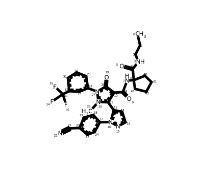 CCCNC(=O)C1(NC(=O)c2c(-c3ccnn3-c3ccc(C#N)cc3)n(C)n(-c3cccc(C(F)(F)F)c3)c2=O)CCCC1